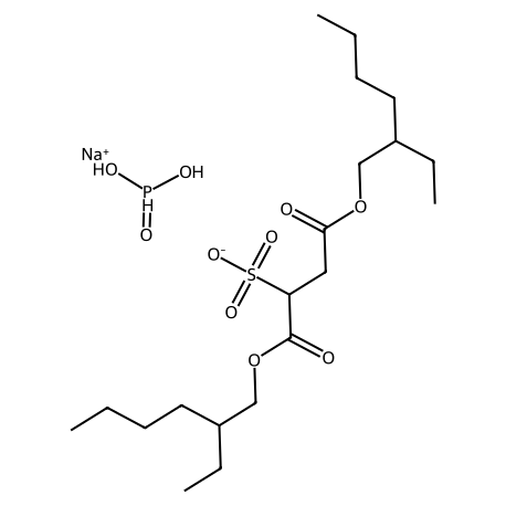 CCCCC(CC)COC(=O)CC(C(=O)OCC(CC)CCCC)S(=O)(=O)[O-].O=[PH](O)O.[Na+]